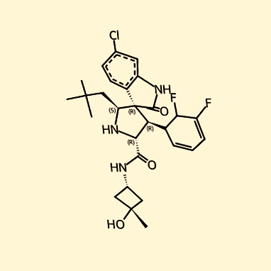 CC(C)(C)C[C@@H]1N[C@@H](C(=O)N[C@H]2C[C@@](C)(O)C2)[C@H](C2C=CC=C(F)C2F)[C@]12C(=O)Nc1cc(Cl)ccc12